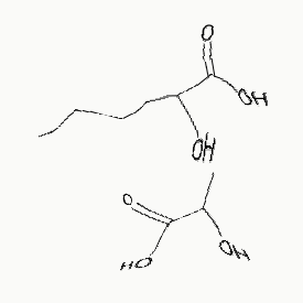 CC(O)C(=O)O.CCCCC(O)C(=O)O